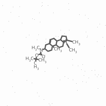 CC1C2CCC3C4CC=C5CC(N(C)C(=O)OC(C)(C)C)CCC5(C)C4CCC32CN1C